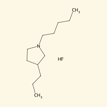 CCCCCN1CCC(CCC)C1.F